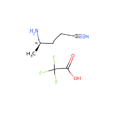 C[C@@H](N)CCC#N.O=C(O)C(F)(F)F